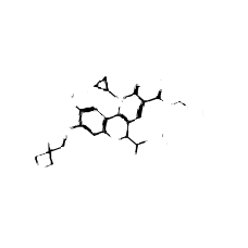 CCOC(=O)c1cc2c(n(C3CC3)c1=O)-c1cc(OC)c(OCC3(C)COC3)cc1OC2C(C)C